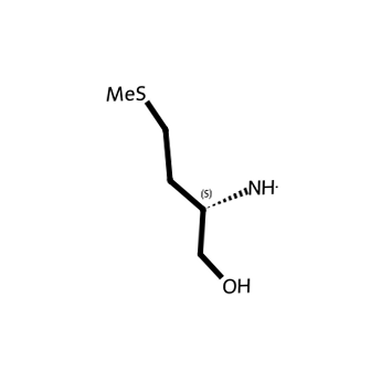 CSCC[C@H]([NH])CO